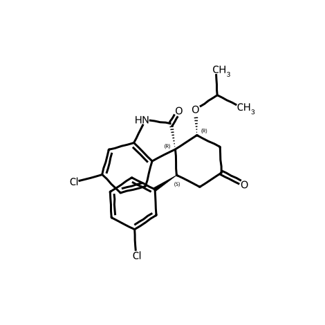 CC(C)O[C@@H]1CC(=O)C[C@@H](c2cccc(Cl)c2)[C@]12C(=O)Nc1cc(Cl)ccc12